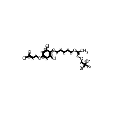 CC(=NOCC(Br)(Br)Br)OCCCCCOc1c(Cl)cc(OCC=C(Cl)Cl)cc1Cl